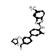 Cc1ccc2nc(Nc3ccc(-c4ccc(C(=O)[C@@H]5CCC[C@H]5C(=O)O)cc4)cc3F)oc2c1